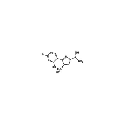 C[C@@H]1CN(C(=N)N)N=C1c1ccc(F)cc1O.Cl